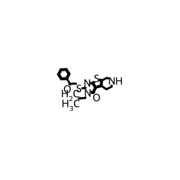 C=C(C)Cn1c(SCC(=O)c2ccccc2)nc2sc3c(c2c1=O)CCNC3